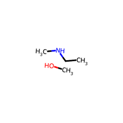 CCNC.CO